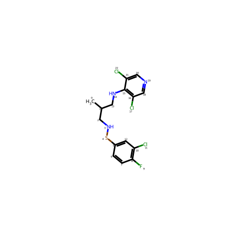 CC(CNSc1ccc(F)c(Cl)c1)CNc1c(Cl)cncc1Cl